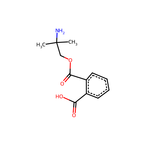 CC(C)(N)COC(=O)c1ccccc1C(=O)O